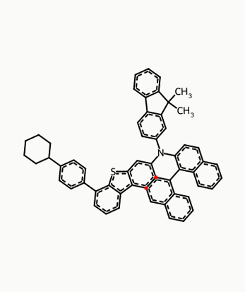 CC1(C)c2ccccc2-c2ccc(N(c3ccc4c(c3)sc3c(-c5ccc(C6CCCCC6)cc5)cccc34)c3ccc4ccccc4c3-c3cccc4ccccc34)cc21